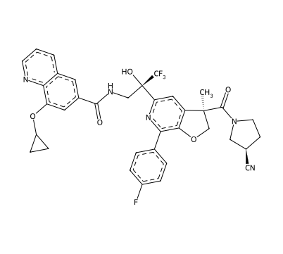 C[C@]1(C(=O)N2CC[C@@H](C#N)C2)COc2c1cc([C@@](O)(CNC(=O)c1cc(OC3CC3)c3ncccc3c1)C(F)(F)F)nc2-c1ccc(F)cc1